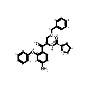 Nc1ccc(C(=O)C(COCc2ccccc2)NC(=O)[C@H]2CCCO2)c(Oc2ccccc2)c1